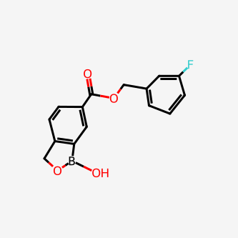 O=C(OCc1cccc(F)c1)c1ccc2c(c1)B(O)OC2